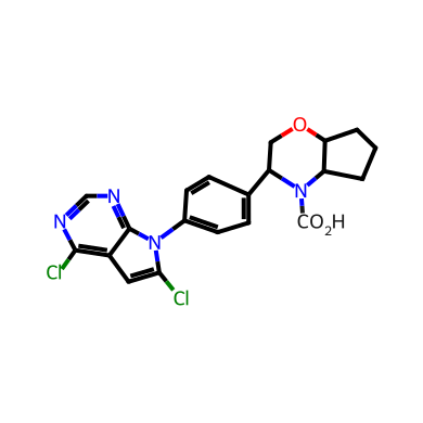 O=C(O)N1C(c2ccc(-n3c(Cl)cc4c(Cl)ncnc43)cc2)COC2CCCC21